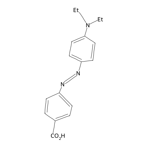 CCN(CC)c1ccc(N=Nc2ccc(C(=O)O)cc2)cc1